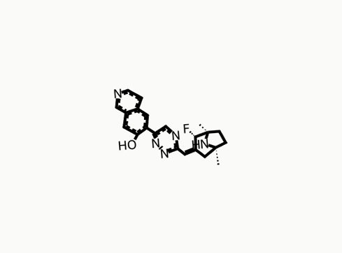 C[C@@]12CC[C@@](C)(N1)[C@@H](F)/C(=C\c1ncc(-c3cc4ccncc4cc3O)nn1)C2